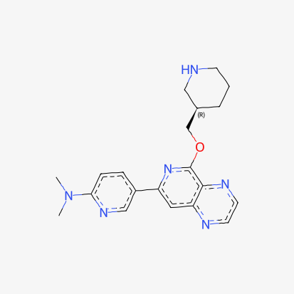 CN(C)c1ccc(-c2cc3nccnc3c(OC[C@@H]3CCCNC3)n2)cn1